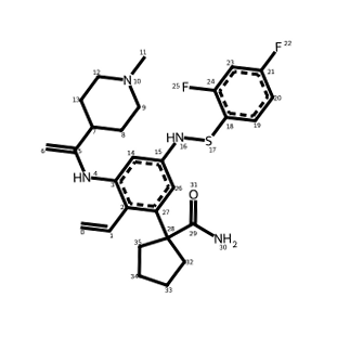 C=Cc1c(NC(=C)C2CCN(C)CC2)cc(NSc2ccc(F)cc2F)cc1C1(C(N)=O)CCCC1